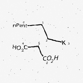 CCCCCC[CH2][K].O=C(O)CC(=O)O